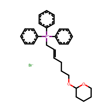 C(=CC[P+](c1ccccc1)(c1ccccc1)c1ccccc1)CCCOC1CCCCO1.[Br-]